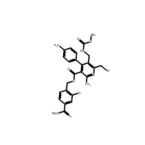 COC(=O)c1ccc(COC(=O)c2c(C)nc(CC(C)C)c(CNC(=O)OC(C)(C)C)c2-c2ccc(C)cc2)c(Cl)c1